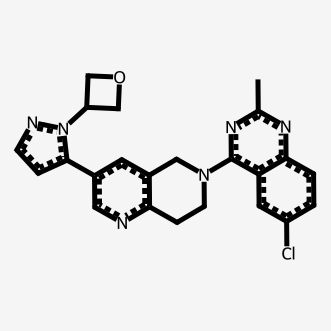 Cc1nc(N2CCc3ncc(-c4ccnn4C4COC4)cc3C2)c2cc(Cl)ccc2n1